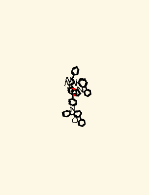 c1ccc(-c2nnc(-c3ccccc3)n2-c2cccc3c4ccccc4n(-c4cccc(-c5ccc(-n6c7ccccc7c7c8oc9ccccc9c8ccc76)cc5)c4)c23)cc1